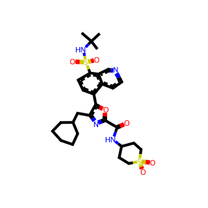 CC(C)(C)NS(=O)(=O)c1ccc(-c2oc(C(=O)NC3CCS(=O)(=O)CC3)nc2CC2CCCCC2)c2ccncc12